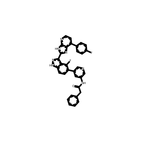 O=C(Cc1ccccc1)Nc1cncc(-c2ccc3[nH]nc(-c4nc5c(-c6ccc(F)cc6)ccnc5[nH]4)c3c2F)c1